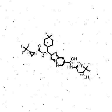 C[C@H](CC(=O)N[C@H](O)c1cnn2cc([C@@H](NC(=O)[C@@H]3C[C@H]3C(F)(F)F)C3CCC(F)(F)CC3)nc2c1)C(F)(F)F